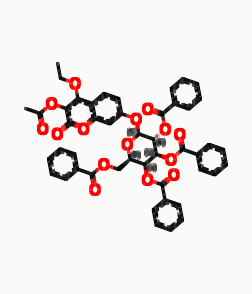 CCOc1c(OC(C)=O)c(=O)oc2cc(O[C@@H]3O[C@H](COC(=O)c4ccccc4)[C@H](OC(=O)c4ccccc4)[C@H](OC(=O)c4ccccc4)[C@H]3OC(=O)c3ccccc3)ccc12